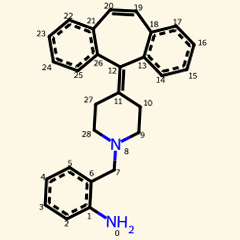 Nc1ccccc1CN1CCC(=C2c3ccccc3C=Cc3ccccc32)CC1